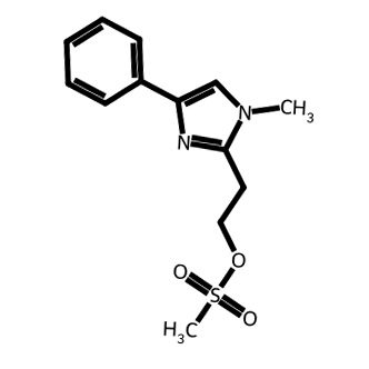 Cn1cc(-c2ccccc2)nc1CCOS(C)(=O)=O